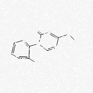 COc1cccnc1-n1cnc(NN)nc1=O